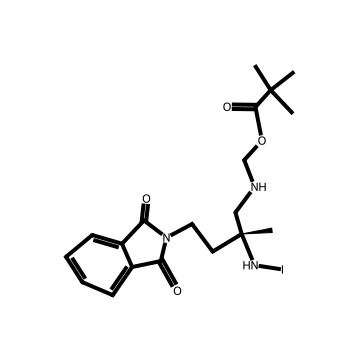 CC(C)(C)C(=O)OCNC[C@@](C)(CCN1C(=O)c2ccccc2C1=O)NI